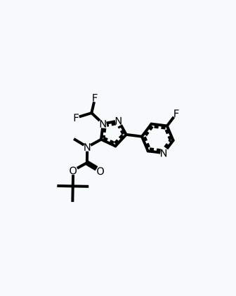 CN(C(=O)OC(C)(C)C)c1cc(-c2cncc(F)c2)nn1C(F)F